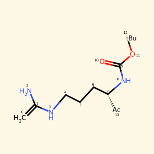 C=C(N)NCCC[C@H](NC(=O)OC(C)(C)C)C(C)=O